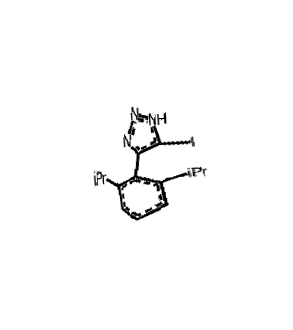 CC(C)c1cccc(C(C)C)c1-c1nn[nH]c1I